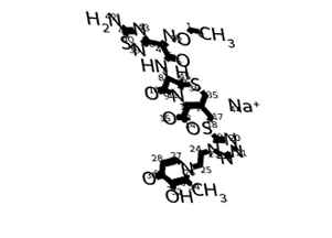 CCO/N=C(\C(=O)N[C@@H]1C(=O)N2C(C(=O)[O-])=C(CSc3nnnn3CCn3ccc(=O)c(O)c3C)CS[C@@H]12)c1nsc(N)n1.[Na+]